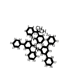 CC1(C)c2ccccc2N2c3cc(-c4ccccc4)cc4c3B(c3cccc1c32)N(c1cc(-c2ccccc2)cc(-c2ccccc2)c1)c1ccccc1-4